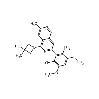 COc1cc(OC)c(Cl)c(-c2cc3cnc(C)cc3c(N3CC(C)(O)C3)n2)c1C